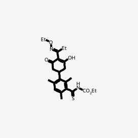 CCON=C(CC)C1=C(O)CC(c2c(C)cc(C)c(C(=S)NC(=O)OCC)c2C)CC1=O